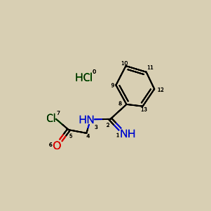 Cl.N=C(NCC(=O)Cl)c1ccccc1